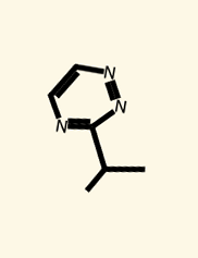 CC(C)c1nccnn1